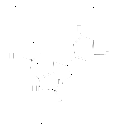 O=C(O)Cc1[nH]c(=S)n2c1CC(c1cc(F)cc(F)c1)C2